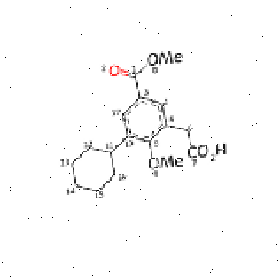 COC(=O)c1cc(CC(=O)O)c(OC)c(C2CCCCC2)c1